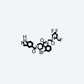 O=C(c1ccc2[nH]ncc2c1)N1CCC2(CC1)C(=O)N(CC(=O)N1CC(F)(F)C[C@H]1CF)c1cccc(Br)c12